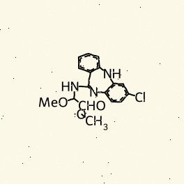 COC(C=O)NC1=Nc2ccc(Cl)cc2Nc2ccccc21.C[O]